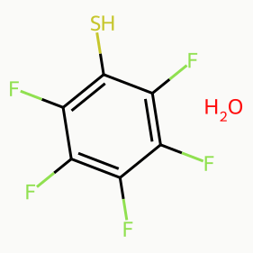 Fc1c(F)c(F)c(S)c(F)c1F.O